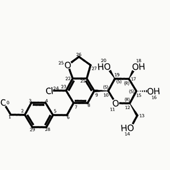 N#CCc1ccc(Cc2cc([C@@H]3O[C@H](CO)[C@@H](O)[C@H](O)[C@@H]3O)c3c(c2Cl)OCC3)cc1